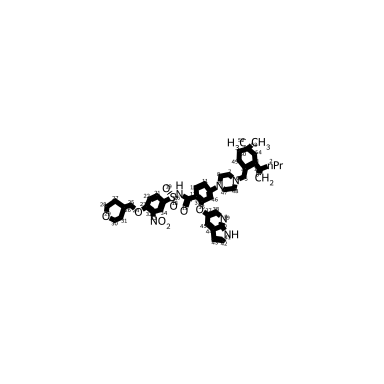 C=C(CCC)C1=C(CN2CCN(c3ccc(C(=O)NS(=O)(=O)c4ccc(OCC5CCOCC5)c([N+](=O)[O-])c4)c(Oc4cnc5[nH]ccc5c4)c3)CC2)CCC(C)(C)C1